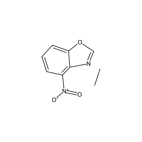 CC.O=[N+]([O-])c1cccc2ocnc12